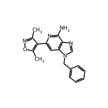 Cc1noc(C)c1-c1cc2c(ncn2Cc2ccccc2)c(N)n1